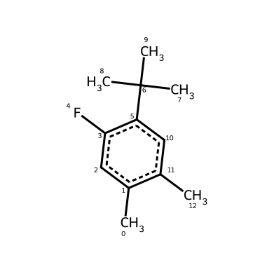 Cc1cc(F)c(C(C)(C)C)cc1C